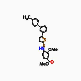 COC(=O)c1ccc(NSc2ccc(-c3cccc(-c4ccc(C)cc4)c3)s2)c(OC)c1